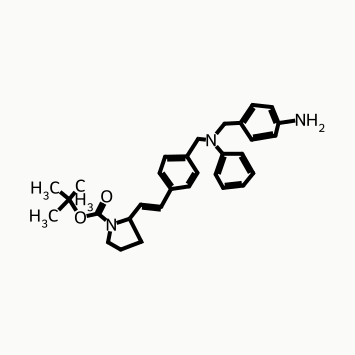 CC(C)(C)OC(=O)N1CCCC1/C=C/c1ccc(CN(Cc2ccc(N)cc2)c2ccccc2)cc1